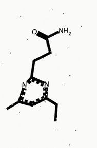 CCc1cc(C)nc(CCC(N)=O)n1